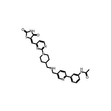 CC(=O)Nc1cccc(-c2ccc(CNCC3CCN(c4nccc(C=C5SC(=O)NC5=O)n4)CC3)cn2)c1